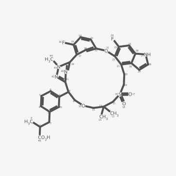 CC(Cc1cccc(C2COCC(C)(C)CS(=O)(=O)CCc3c(c(F)cc4[nH]ccc34)Oc3ccc(F)c(c3)-c3nc2nn3C)c1)C(=O)O